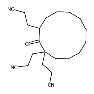 N#CCCC1CCCCCCCCCC(CCC#N)(CCC#N)C1=O